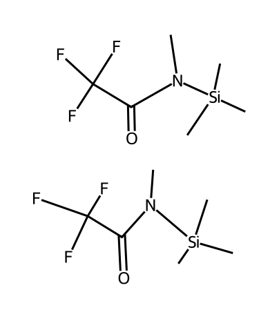 CN(C(=O)C(F)(F)F)[Si](C)(C)C.CN(C(=O)C(F)(F)F)[Si](C)(C)C